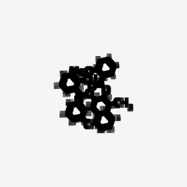 COc1ccccc1C(=O)OC1C(OC(=O)c2ccccc2C)[C@@H](c2ccccc2C)c2ccccc2[C@@H]1C